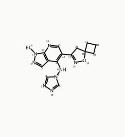 CCn1ncc2c(Nn3cnnc3)c(C3=NOC4(CCC4)C3)cnc21